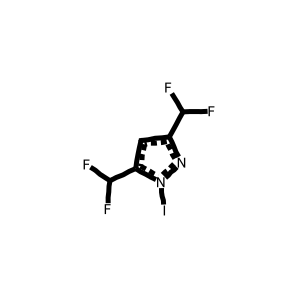 FC(F)c1cc(C(F)F)n(I)n1